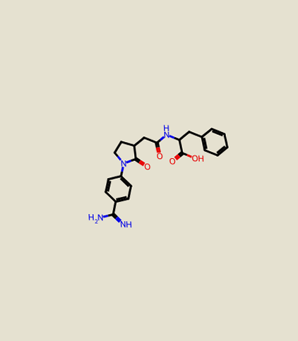 N=C(N)c1ccc(N2CCC(CC(=O)NC(Cc3ccccc3)C(=O)O)C2=O)cc1